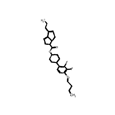 CCCCOc1ccc(C2CCC(OC(=O)C3CCC4C(CCC)CCC34)CC2)c(F)c1F